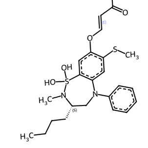 CCCC[C@H]1CN(c2ccccc2)c2cc(SC)c(O/C=C/C(=O)O)cc2S(O)(O)N1C